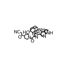 N#CCC(=O)C1CCN(C(=O)c2noc(-c3cnc4[nH]ccc4c3N[C@H]3C4CC5CC3C[C@@](O)(C5)C4)n2)CC1